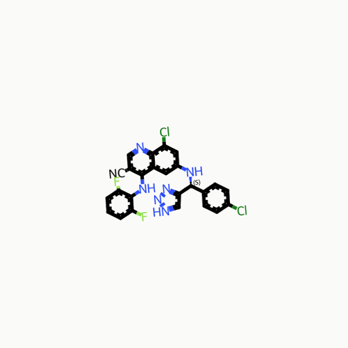 N#Cc1cnc2c(Cl)cc(N[C@@H](c3ccc(Cl)cc3)c3c[nH]nn3)cc2c1Nc1c(F)cccc1F